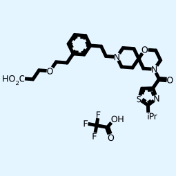 CC(C)c1nc(C(=O)N2CCOC3(CCN(CCc4cccc(CCOCCC(=O)O)c4)CC3)C2)cs1.O=C(O)C(F)(F)F